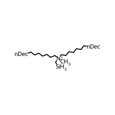 CCCCCCCCCCCCCCCCC[N+](C)(C[SiH3])CCCCCCCCCCCCCCCCC